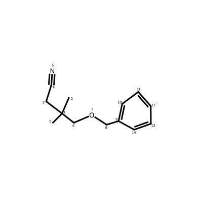 CC(C)(CC#N)COCc1ccccc1